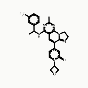 Cc1nc(NC(C)c2cccc(C(F)(F)F)c2)c2c(n1)N1CCN=C1C(c1ccn(C3COC3)c(=O)c1)=C2